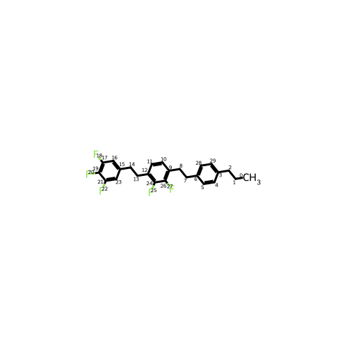 CCCc1ccc(CCc2ccc(CCc3cc(F)c(F)c(F)c3)c(F)c2F)cc1